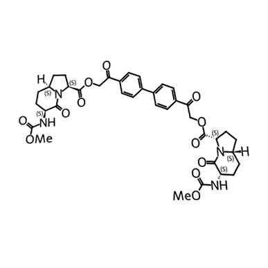 COC(=O)N[C@H]1CC[C@H]2CC[C@@H](C(=O)OCC(=O)c3ccc(-c4ccc(C(=O)COC(=O)[C@@H]5CC[C@@H]6CC[C@H](NC(=O)OC)C(=O)N65)cc4)cc3)N2C1=O